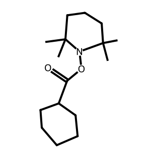 CC1(C)CCCC(C)(C)N1OC(=O)C1CCCCC1